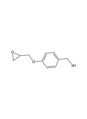 SCc1ccc(OCC2CO2)cc1